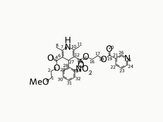 COCCOC(=O)C1=C(C)NC(C)=C(C(=O)OCCOC(=O)c2cccnc2)C1c1ccccc1[N+](=O)[O-]